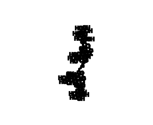 CC(CCCSCCCSCCCC(C)C1CCC2C3CCC4CC(O[C@H]5OC(CO)[C@H](O[C@@H]6OC(CO)[C@H](O)[C@@H](O)C6O)[C@@H](O)C5O)CCC4(C)C3CC(O[C@H]3OC(CO)[C@H](O[C@@H]4OC(CO)[C@H](O)[C@@H](O)C4O)[C@@H](O)C3O)C12C)C1CCC2C3CCC4CC(O[C@@H]5OC(CO)[C@@H](O[C@H]6OC(CO)[C@@H](O)[C@H](O)C6O)[C@H](O)C5C)CCC4(C)C3CC(O[C@@H]3OC(CO)[C@@H](O[C@H]4OC(CO)[C@@H](O)[C@H](O)C4O)[C@H](O)C3O)C12C